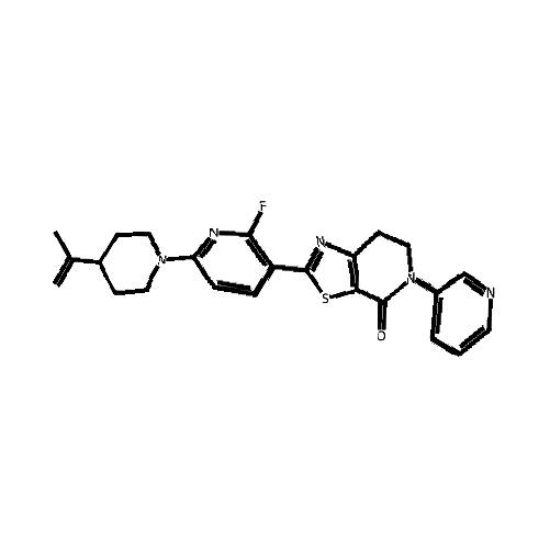 C=C(C)C1CCN(c2ccc(-c3nc4c(s3)C(=O)N(c3cccnc3)CC4)c(F)n2)CC1